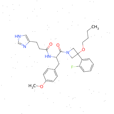 CCCCOC1(c2ccccc2F)CN(C(=O)C(Cc2ccc(OC)cc2)NC(=O)CCc2c[nH]cn2)C1